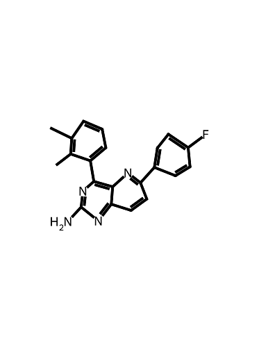 Cc1cccc(-c2nc(N)nc3ccc(-c4ccc(F)cc4)nc23)c1C